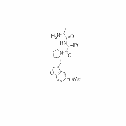 COc1ccc2occ(C[C@@H]3CCCN3C(=O)[C@@H](NC(=O)[C@H](C)N)C(C)C)c2c1